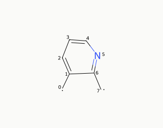 [CH2]c1cccnc1[CH2]